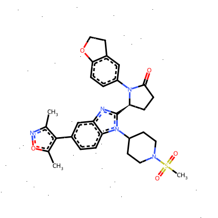 Cc1noc(C)c1-c1ccc2c(c1)nc([C@@H]1CCC(=O)N1c1ccc3c(c1)CCO3)n2C1CCN(S(C)(=O)=O)CC1